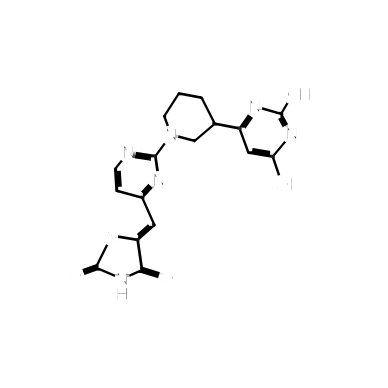 Cc1nc(O)cc(C2CCCN(c3nccc(/C=C4\SC(=O)NC4=O)n3)C2)n1